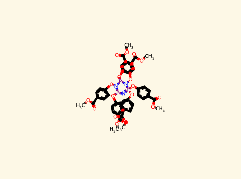 COC(=O)c1ccc(ON2P(Oc3ccc(C(=O)OC)cc3)N=P(Oc3ccc(C(=O)OC)cc3)(Oc3ccc(C(=O)OC)cc3)N(Oc3ccc(C(=O)OC)cc3)P2Oc2ccc(C(=O)OC)cc2)cc1